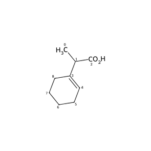 CC(C(=O)O)C1=CCCCC1